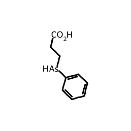 O=C(O)CC[AsH]c1ccccc1